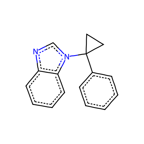 c1ccc(C2(n3cnc4ccccc43)CC2)cc1